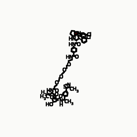 Cc1ncsc1-c1ccc([C@H](C)NC(=O)[C@@H]2C[C@@H](O)CN2C(=O)[C@@H](NC(=O)CCOCCOCCOCCOCCNC(=O)c2ccc(NC(=O)[C@@H]3NC4(CCCCC4)[C@@]4(C(=O)Nc5cc(Cl)ccc54)[C@H]3c3cccc(Cl)c3F)cc2)C(C)(C)C)cc1